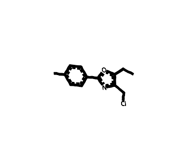 CCc1oc(-c2ccc(C)cc2)nc1CCl